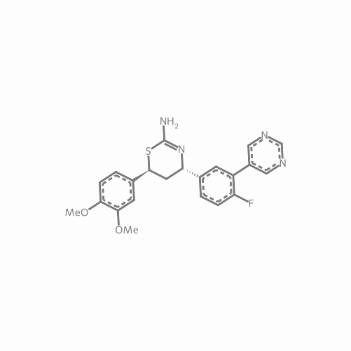 COc1ccc([C@@H]2C[C@@H](c3ccc(F)c(-c4cncnc4)c3)N=C(N)S2)cc1OC